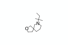 CCC(C)(C)N1CCCC2(CCOC2)C1